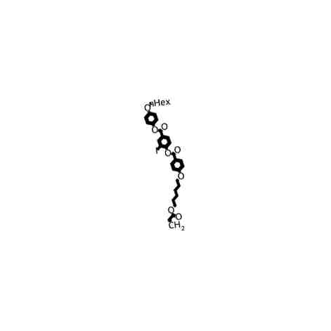 C=CC(=O)OCCCCCCOc1ccc(C(=O)Oc2ccc(C(=O)Oc3ccc(OCCCCCC)cc3)cc2I)cc1